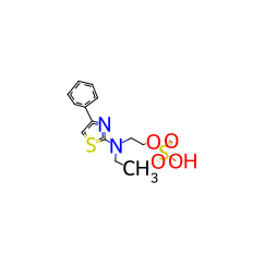 CCN(CCOS(=O)(=O)O)c1nc(-c2ccccc2)cs1